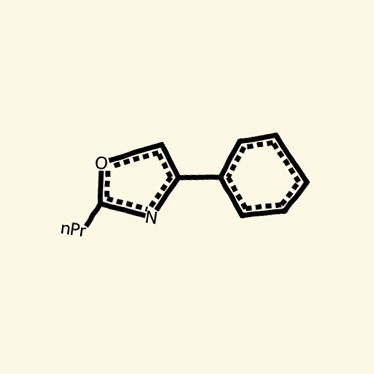 CCCc1nc(-c2ccccc2)co1